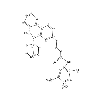 COc1cc(NC(=O)CCCc2ccc(-c3ccccc3)c(N(C(=O)O)C34CCN(CC3)CC4)c2)c(Cl)cc1C=O